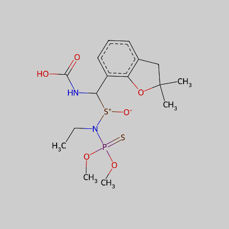 CCN([S+]([O-])C(NC(=O)O)c1cccc2c1OC(C)(C)C2)P(=S)(OC)OC